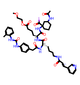 COCCOC(=O)CCC[C@H](NC(=O)[C@H](CCCCNC(=O)/C=C/c1cccnc1)NC(=O)Cc1ccc(NC(=O)Nc2ccccc2C)cc1)C(=O)NC1(C(=O)I)CCCC(NC(C)=O)C1